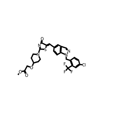 COC(=O)COC1CCN(C2=NC(=O)/C(=C/c3ccc4c(cnn4Cc4ccc(Cl)cc4C(F)(F)F)c3)S2)CC1